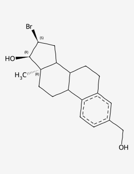 C[C@@]12CCC3c4ccc(CO)cc4CCC3C1C[C@H](Br)[C@@H]2O